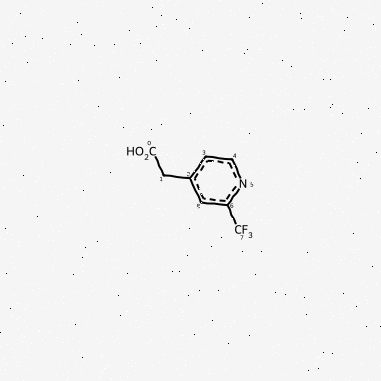 O=C(O)Cc1ccnc(C(F)(F)F)c1